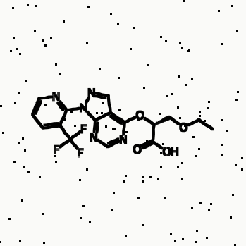 CCOC[C@H](Oc1ncnc2c1cnn2-c1ncccc1C(F)(F)F)C(=O)O